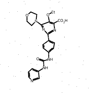 CCOc1c(C(=O)O)nc(-c2ccc(NC(=O)Nc3cccnc3)cc2)nc1N1CCOCC1